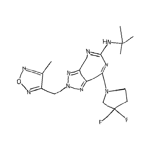 Cc1nonc1Cn1nc2nc(NC(C)(C)C)nc(N3CCC(F)(F)C3)c2n1